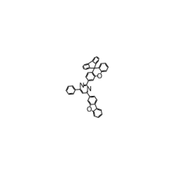 c1ccc(-c2cc(-c3ccc4c(c3)oc3ccccc34)nc(-c3ccc4c(c3)Oc3ccccc3C43c4ccccc4-c4ccccc43)n2)cc1